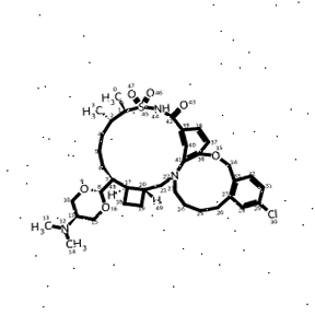 C[C@@H]1[C@@H](C)CCC[C@H]([C@H]2OC[C@H](N(C)C)CO2)[C@@H]2CC[C@H]2CN2CCCCc3cc(Cl)ccc3COc3ccc(cc32)C(=O)NS1(=O)=O